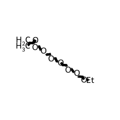 C=C(C)C(=O)OCCOCCOCCOCCOCCOCCOCC